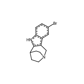 Brc1ccc2[nH]c3c(c2c1)CN1CCC3CC1